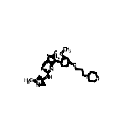 COc1cc(OCCCN2CCOCC2)ccc1-c1c(C)sc2cnc(Nc3cnn(C)c3)nc12